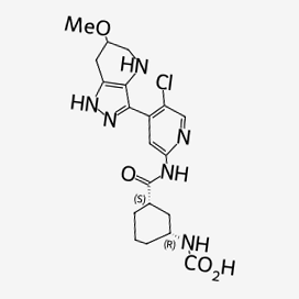 COC1CNc2c(-c3cc(NC(=O)[C@H]4CCC[C@@H](NC(=O)O)C4)ncc3Cl)n[nH]c2C1